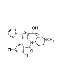 CN1CCC(N(C(=O)c2ccc(Cl)cc2Cl)c2cc(-c3ccccc3)sc2C(=O)O)CC1